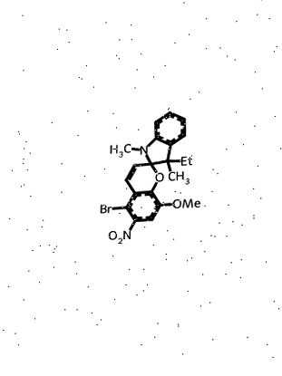 CCC1(C)c2ccccc2N(C)C12C=Cc1c(Br)c([N+](=O)[O-])cc(OC)c1O2